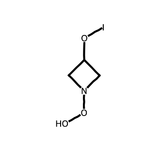 OON1CC(OI)C1